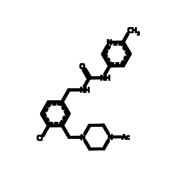 CC(=O)N1CCN(Cc2cc(CNC(=O)Nc3ccc(C)nc3)ccc2Cl)CC1